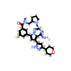 CN(CC1CCCN1C)C(=O)c1cc(F)cc(-c2cc(-c3cc(C4CCOCC4)n[nH]3)c3c(N)ncnn23)c1